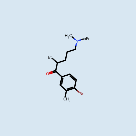 CCCN(C)CCCC(CC)C(=O)c1ccc(Br)c(C)c1